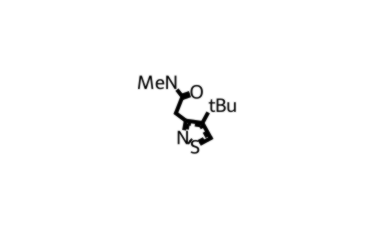 CNC(=O)Cc1nscc1C(C)(C)C